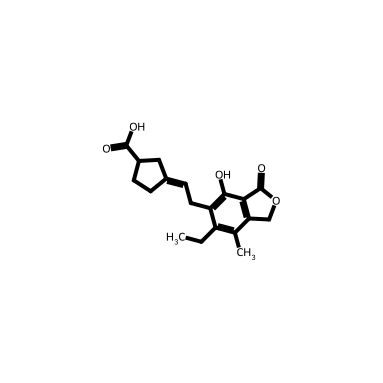 CCc1c(C)c2c(c(O)c1CC=C1CCC(C(=O)O)C1)C(=O)OC2